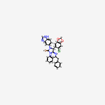 S=C1NC(=NC(Cc2ccccc2)c2ccccc2)C(c2cc3c(cc2Br)OCO3)N1c1ccc2[nH]cnc2c1